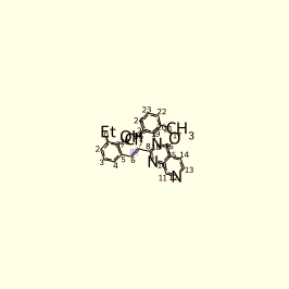 CCc1cccc(/C=C/c2nc3cnccc3c(=O)n2-c2c(C)cccc2Cl)c1O